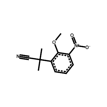 COc1c([N+](=O)[O-])cccc1C(C)(C)C#N